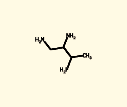 CC(P)C(N)CN